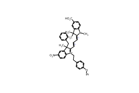 CC(C)Oc1ccc(CC[N+]2=C(/C=C/C=C3/N(C)c4ccc(C(=O)O)cc4C3(C)C)C(C)(Cc3ccccc3)c3cc([N+](=O)[O-])ccc32)cc1